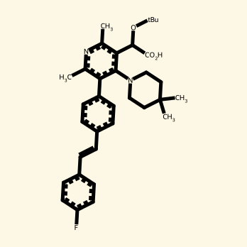 Cc1nc(C)c(C(OC(C)(C)C)C(=O)O)c(N2CCC(C)(C)CC2)c1-c1ccc(/C=C/c2ccc(F)cc2)cc1